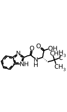 CC(C)(C)C[C@H](NC(=O)c1nc2ccccc2[nH]1)C(=O)O